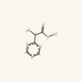 O=C(OCl)C(S)c1ncncn1